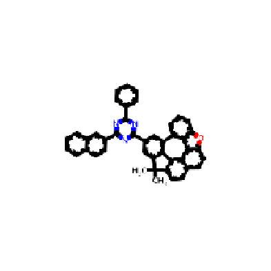 CC1(C)c2cc(-c3nc(-c4ccccc4)nc(-c4ccc5ccccc5c4)n3)cc3c2-c2c1ccc1ccc4oc5cccc-3c5c4c21